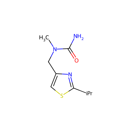 CC(C)c1nc(CN(C)C(N)=O)cs1